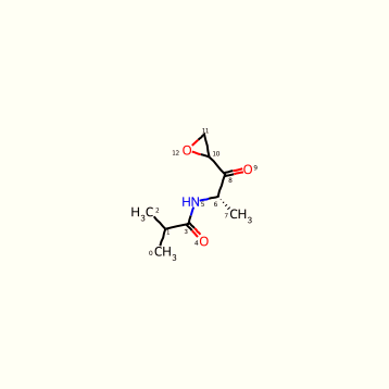 CC(C)C(=O)N[C@@H](C)C(=O)C1CO1